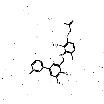 Cc1cc(-c2cccc(F)c2)cc(CNc2c(F)ccc(OCC(=O)I)c2C)c1C